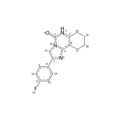 O=c1[nH]c2c(c3nc(-c4ccc(F)cc4)cn13)CCCC2